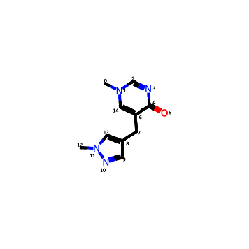 Cn1cnc(=O)c(Cc2cnn(C)c2)c1